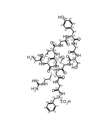 N=C(N)NCCC[C@H](NC(=O)CNC(=O)[C@H](CO)NC(=O)CNC(=O)[C@H](Cc1ccc(O)cc1)NC(=O)CNC(=O)[C@H](CC(=O)O)NC(=O)[C@H](CO)NC(=O)CNC(=O)CN)C(=O)NCC(=O)N[C@@H](Cc1ccccc1)C(=O)O